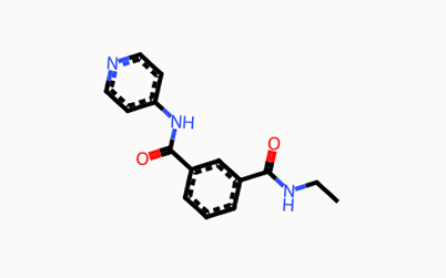 CCNC(=O)c1cccc(C(=O)Nc2ccncc2)c1